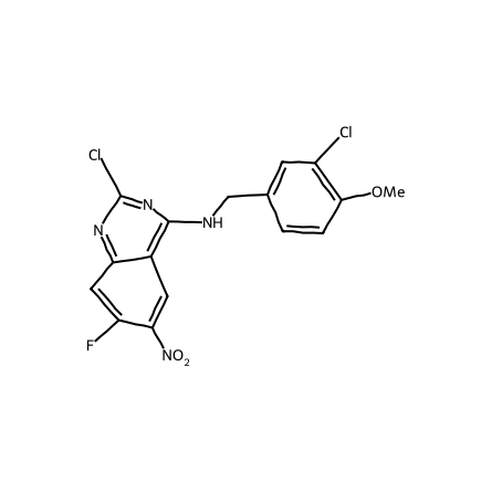 COc1ccc(CNc2nc(Cl)nc3cc(F)c([N+](=O)[O-])cc23)cc1Cl